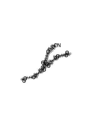 C=CC(=O)OCCCCCCOc1ccc(C#Cc2ccc(C(=O)Oc3ccc(OC(=O)c4ccc(C#Cc5ccc(OCCCCCCOC(=O)C=C)cc5)cc4)c(C(=O)OCCCCCCCCOc4ccc(-c5ccc(C#N)cc5)cc4)c3)cc2)cc1